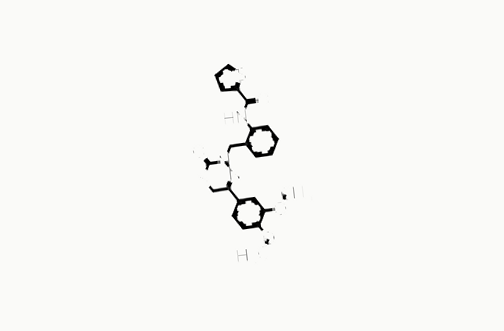 COc1ccc(C2=NN(Cc3ccccc3NC(=O)c3cccs3)C(=O)SC2)cc1OC